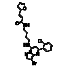 O=C(/C=C/c1ccco1)NCCCCNc1cc(-c2ccccc2Cl)nc2c(Br)cnn12